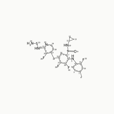 Cc1ccc(Nc2c(C(=O)NC3CC3)cc(Cc3ccnc(NSN)c3F)c(F)c2F)c(F)c1